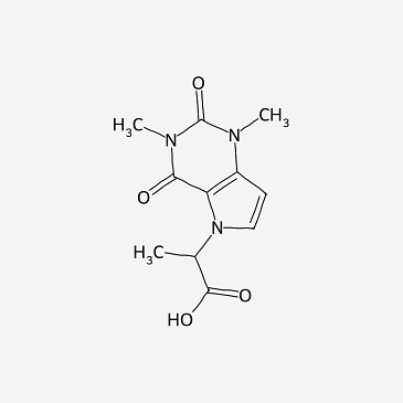 CC(C(=O)O)n1ccc2c1c(=O)n(C)c(=O)n2C